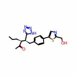 CCC[C@H](C(C)=O)[C@H](Cc1ccc(-c2cnc(CO)s2)cc1)c1nnn[nH]1